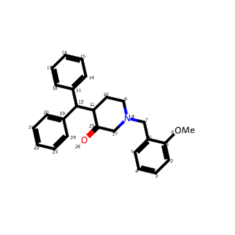 COc1ccccc1CN1CCC(C(c2ccccc2)c2ccccc2)C(=O)C1